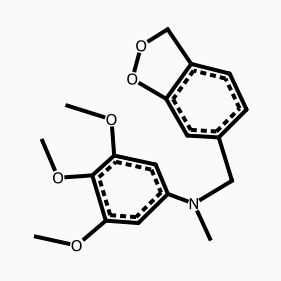 COc1cc(N(C)Cc2ccc3c(c2)OOC3)cc(OC)c1OC